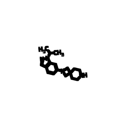 CC(C)n1ncc2ccc(N3CC4(CCNCC4)C3)cc21